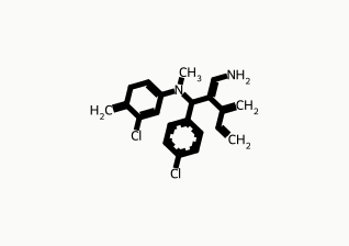 C=CC(=C)/C(=C\N)C(c1ccc(Cl)cc1)N(C)C1=CCC(=C)C(Cl)=C1